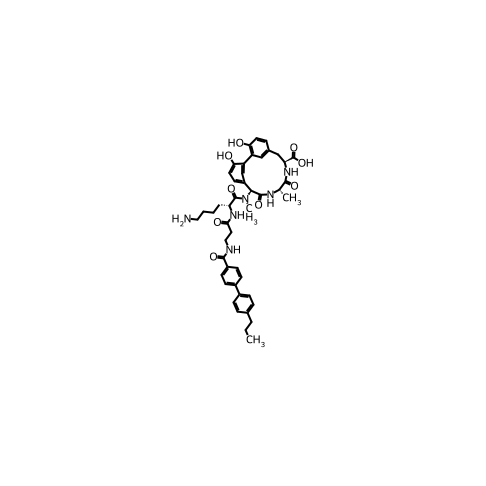 CCCc1ccc(-c2ccc(C(=O)NCCC(=O)N[C@H](CCCCN)C(=O)N(C)[C@@H]3C(=O)N[C@@H](C)C(=O)N[C@H](C(=O)O)Cc4ccc(O)c(c4)-c4cc3ccc4O)cc2)cc1